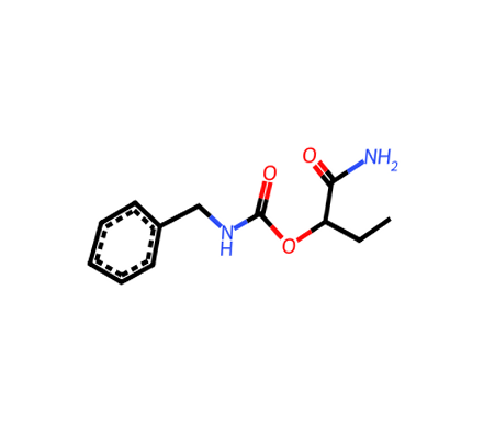 CCC(OC(=O)NCc1ccccc1)C(N)=O